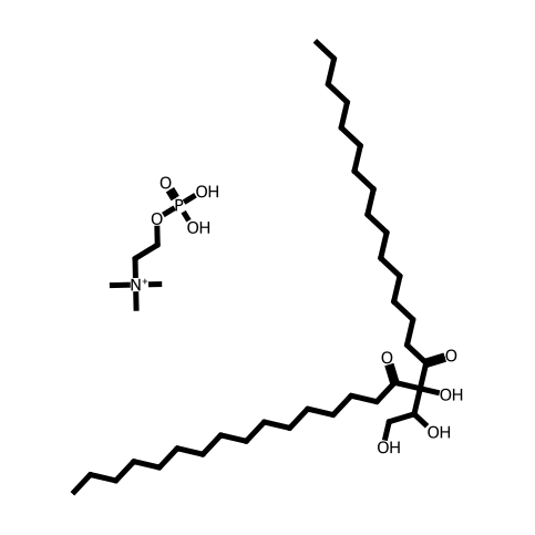 CCCCCCCCCCCCCCCC(=O)C(O)(C(=O)CCCCCCCCCCCCCCC)C(O)CO.C[N+](C)(C)CCOP(=O)(O)O